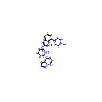 CN1CCN(c2cccc3nc([C@H]4CCC[C@@H](c5nccn6cccc56)N4C)[nH]c23)CC1